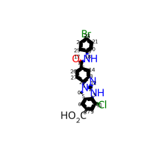 Cn1c(Nc2ccc(C(=O)O)cc2Cl)nc2cc(C(=O)Nc3ccc(Br)cc3)ccc21